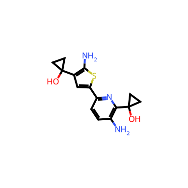 Nc1ccc(-c2cc(C3(O)CC3)c(N)s2)nc1C1(O)CC1